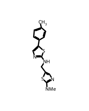 CNc1ncc(CNc2ncc(-c3ccc(C)cc3)s2)s1